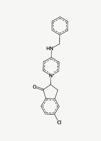 O=C1c2ccc(Cl)cc2CC1[n+]1ccc(NCc2ccccc2)cc1